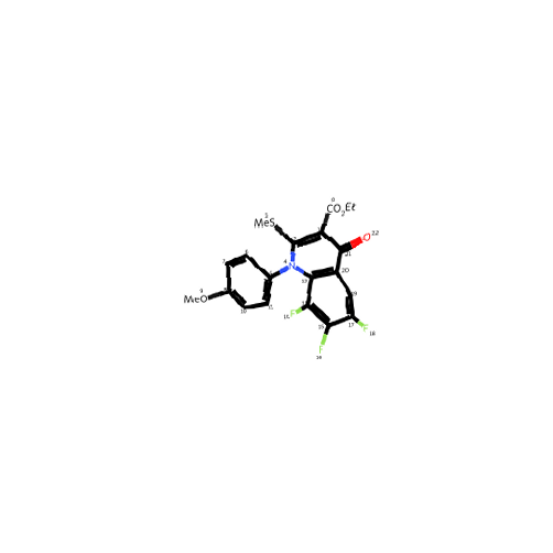 CCOC(=O)c1c(SC)n(-c2ccc(OC)cc2)c2c(F)c(F)c(F)cc2c1=O